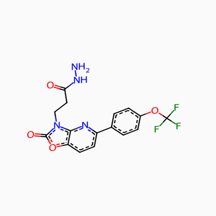 NNC(=O)CCn1c(=O)oc2ccc(-c3ccc(OC(F)(F)F)cc3)nc21